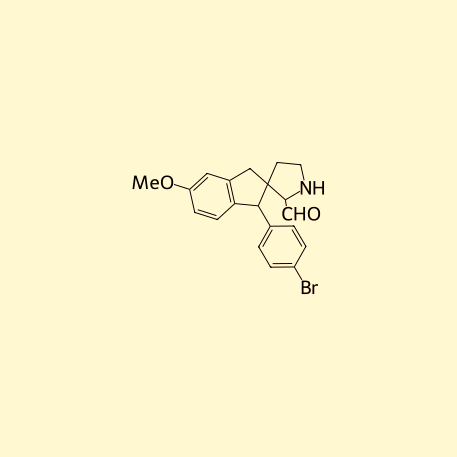 COc1ccc2c(c1)CC1(CCNC1C=O)C2c1ccc(Br)cc1